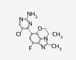 Cc1nc2c(F)cc(-c3nc(N)ncc3Cl)c3c2n1[C@@H](C)CO3